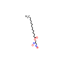 CCCCCCCCCCCCCC(=O)OCC(CN=O)N=O